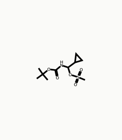 CC(C)(C)OC(=O)NC(OS(C)(=O)=O)C1CC1